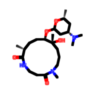 C[C@@H]1C[C@H](N(C)C)CC(O[C@@H]2CC[C@@H](C)C(=O)NCCC(=O)N(C)CCC[C@@]2(C)O)O1